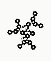 N#Cc1ccc(-n2c3ccc(-c4ccccc4)cc3c3cc(-c4ccccc4)ccc32)cc1-c1nc(-c2ccccc2)nc(-c2cc(-n3c4ccc(-c5ccccc5)cc4c4cc(-c5ccccc5)ccc43)ccc2-c2cccc(-n3c4ccc(-c5ccccc5)cc4c4cc(-c5ccccc5)ccc43)c2C#N)n1